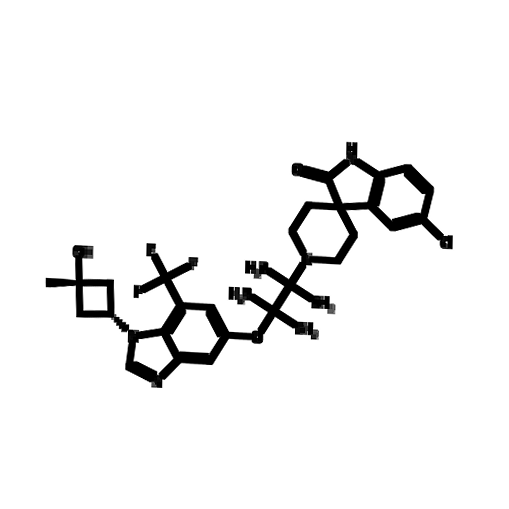 BC(B)(Oc1cc(C(F)(F)F)c2c(c1)ncn2[C@H]1C[C@@](C)(O)C1)C(B)(B)N1CCC2(CC1)C(=O)Nc1ccc(Cl)cc12